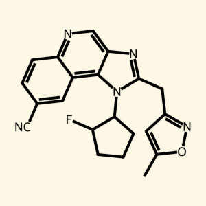 Cc1cc(Cc2nc3cnc4ccc(C#N)cc4c3n2C2CCCC2F)no1